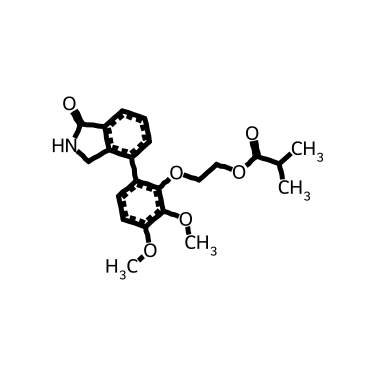 COc1ccc(-c2cccc3c2CNC3=O)c(OCCOC(=O)C(C)C)c1OC